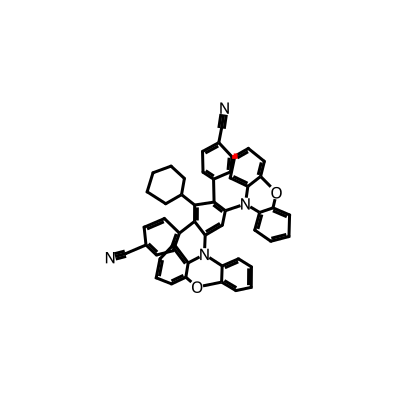 N#Cc1ccc(-c2c(N3c4ccccc4Oc4ccccc43)cc(N3c4ccccc4Oc4ccccc43)c(-c3ccc(C#N)cc3)c2C2CCCCC2)cc1